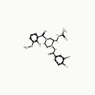 COc1cccc(C(=O)N2CCN(CC(Cl)c3ccc(F)c(Cl)c3)[C@H](CSC(C)=O)C2)c1Cl